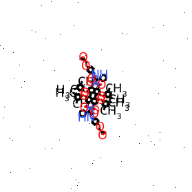 Cc1cc(C)cc(Oc2cc3c4c(cc(Oc5cc(C)cc(C)c5)c5c6c(Oc7cc(C)cc(C)c7)cc7c8c(cc(Oc9cc(C)cc(C)c9)c(c2c45)c86)C(=O)N(C(C(=O)Nc2ccc(OCC4CO4)cc2)C2CCCCC2)C7=O)C(=O)N(C(C(=O)Nc2ccc(OCC4CO4)cc2)C2CCCCC2)C3=O)c1